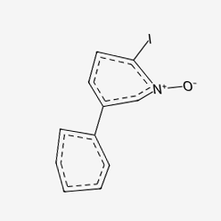 [O-][n+]1cc(-c2ccccc2)ccc1I